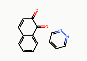 O=C1C=Cc2ccccc2C1=O.c1ccnnc1